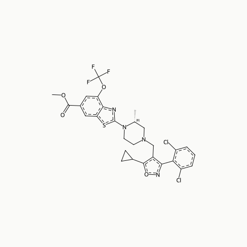 COC(=O)c1cc(OC(F)(F)F)c2nc(N3CCN(Cc4c(-c5c(Cl)cccc5Cl)noc4C4CC4)C[C@H]3C)sc2c1